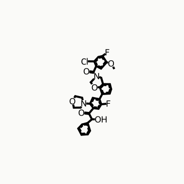 COc1cc(C(=O)N2COc3c(cccc3-c3cc(N4CCOCC4)c(C(=O)C(O)c4ccccc4)cc3F)C2)c(Cl)cc1F